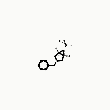 C[C@@H](N)[C@@H]1[C@@H]2CN(Cc3ccccc3)C[C@@H]21